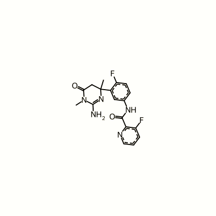 CN1C(=O)CC(C)(c2cc(NC(=O)c3ncccc3F)ccc2F)N=C1N